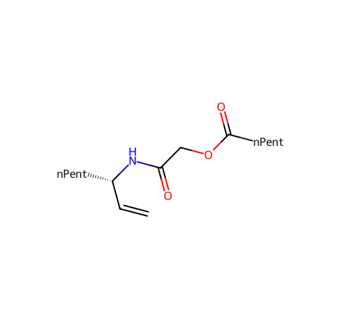 C=C[C@H](CCCCC)NC(=O)COC(=O)CCCCC